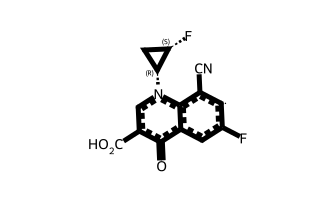 N#Cc1[c]c(F)cc2c(=O)c(C(=O)O)cn([C@@H]3C[C@@H]3F)c12